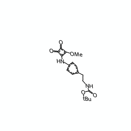 COc1c(Nc2ccc(CCNC(=O)OC(C)(C)C)cc2)c(=O)c1=O